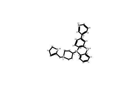 C1=C(CN2CCC(N3c4ccccc4Oc4cc(-c5cccnc5)ccc43)CC2)SCC1